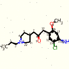 CCCN1CCC(CC(=O)Cc2cc(Cl)c(N)cc2OC)CC1